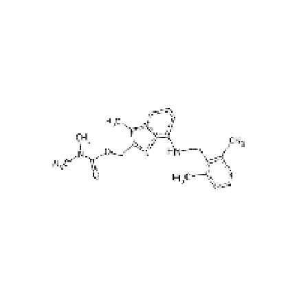 Cc1cccc(C)c1CNc1cccn2c(C)c(COC(=O)N(C)C)nc12